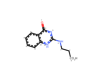 O=C(O)CCNc1nc(=O)c2ccccc2[nH]1